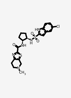 CN1CCc2nc(C(=O)N[C@H]3CCC[C@H]3NS(=O)(=O)c3cc4cc(Cl)ccc4[nH]3)sc2C1